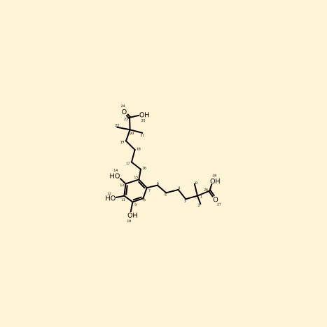 CC(C)(CCCCc1cc(O)c(O)c(O)c1CCCCC(C)(C)C(=O)O)C(=O)O